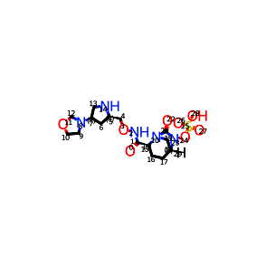 O=C(NOC[C@H]1C[C@@H](N2CCOC2)CN1)[C@@H]1CC[C@@H]2CN1C(=O)N2OS(=O)(=O)O